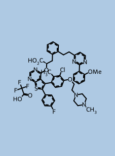 COc1ccccc1-c1nccc(CCc2ccccc2C[C@@H](Oc2ncnc3sc(-c4ccc(F)cc4)c(-c4ccc(OCCN5CCN(C)CC5)c(Cl)c4C)c23)C(=O)O)n1.O=C(O)C(F)(F)F